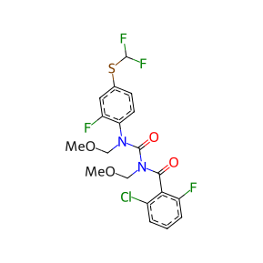 COCN(C(=O)c1c(F)cccc1Cl)C(=O)N(COC)c1ccc(SC(F)F)cc1F